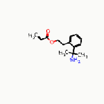 C=CC(=O)OCCc1ccccc1C(C)(C)N